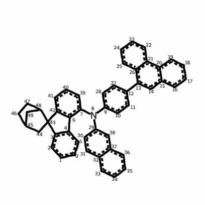 c1ccc2c(c1)-c1c(N(c3ccc(-c4cc5ccccc5c5ccccc45)cc3)c3ccc4ccccc4c3)cccc1C21CC2CCC1C2